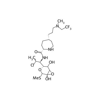 CSC1O[C@H]([C@H](NC(=O)[C@@H]2CC[C@H](CCCN(C)CC(F)(F)F)CCN2)[C@H](C)Cl)C(O)C2O[C@]12O